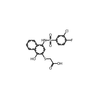 O=C(O)CSc1cc(NS(=O)(=O)c2ccc(F)c(Cl)c2)c2ccccc2c1O